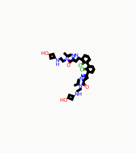 Cc1cn2nc(-c3cccc(-c4cccc(-c5cc6c(=O)n(CCN[C@H]7C[C@@H](O)C7)c(C)cn6n5)c4Cl)c3Cl)cc2c(=O)n1CCN[C@H]1C[C@@H](O)C1